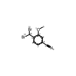 COc1cc(C#N)ccc1C(Br)Br